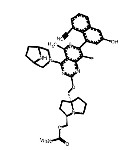 C#Cc1cccc2cc(O)cc(-c3nc(C)c4c(N5CC6CCC(C5)N6)nc(OC[C@]56CCCN5[C@@H](COC(=O)NC)CC6)nc4c3F)c12